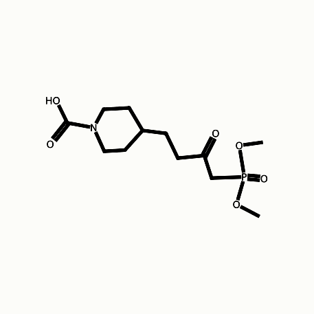 COP(=O)(CC(=O)CCC1CCN(C(=O)O)CC1)OC